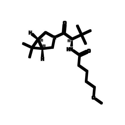 COCCCCC(=O)N[C@H](C(=O)N1C[C@@H]2[C@H](C1)C2(C)C)C(C)(C)C